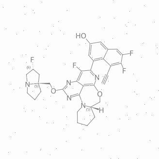 C#Cc1c(F)c(F)cc2cc(O)cc(-c3nc4c5c(nc(OC[C@@]67CCCN6C[C@H](F)C7)nc5c3F)N3CCCC[C@H]3CO4)c12